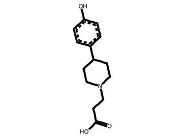 O=C(O)CCN1CCC(c2ccc(O)cc2)CC1